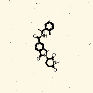 Cc1ccccc1[C@H](C)NC(=O)c1ccc2c(c1)CN(C1CCC(=O)NC1=O)C2=O